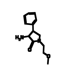 COCCN1CC(c2ccccc2)C(N)C1=O